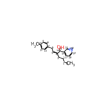 CCCCC(=CCc1ccc(C)cc1)C(O)c1cccnc1